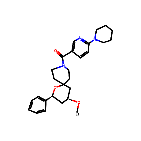 CCO[C@H]1C[C@@H](c2ccccc2)OC2(CCN(C(=O)c3ccc(N4CCCCC4)nc3)CC2)C1